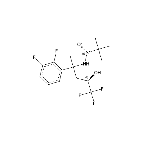 CC(C[C@@H](O)C(F)(F)F)(N[S@+]([O-])C(C)(C)C)c1cccc(F)c1F